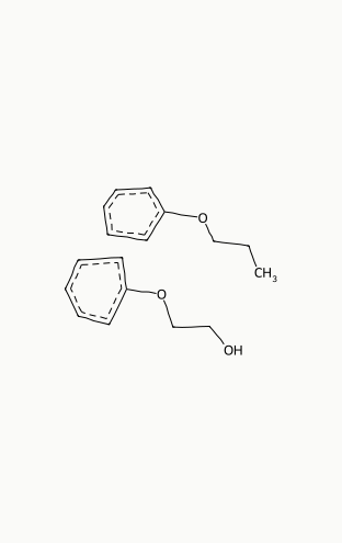 CCCOc1ccccc1.OCCOc1ccccc1